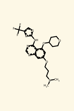 CN(C)CCCOc1cc(OC2CCOCC2)c2c(Nc3nc(C(F)(F)F)cs3)ncnc2c1